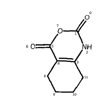 O=c1[nH]c2c(c(=O)o1)CCCC2